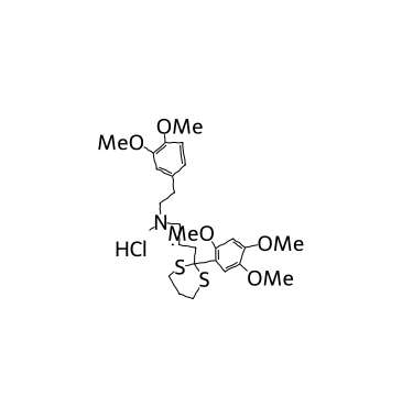 COc1ccc(CCN(C)C[CH]CC2(c3cc(OC)c(OC)cc3OC)SCCCS2)cc1OC.Cl